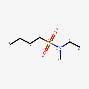 CCCCS(=O)(=O)N(C)CC